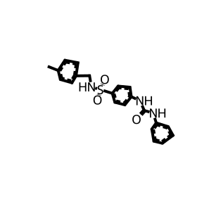 Cc1ccc(CNS(=O)(=O)c2ccc(NC(=O)Nc3ccccc3)cc2)cc1